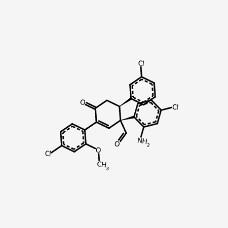 COc1cc(Cl)ccc1C1=C[C@](C=O)(c2ccc(Cl)cc2N)[C@H](c2cccc(Cl)c2)CC1=O